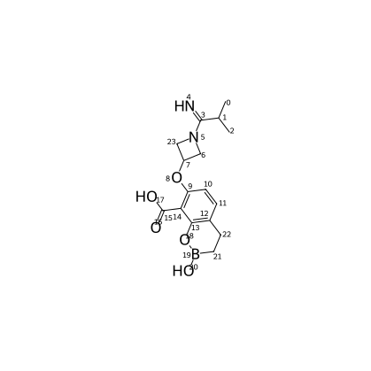 CC(C)C(=N)N1CC(Oc2ccc3c(c2C(=O)O)OB(O)CC3)C1